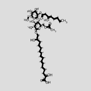 CCCCCC(O)CC(=O)O[C@H]1[C@H](O[C@H]2[C@H](O)[C@@H](O)[C@H](OCC(O)CCCCCCCCCCCCC(O)C(=O)O)O[C@@H]2COC(C)=O)O[C@H](CO)[C@@H](O)[C@@H]1O